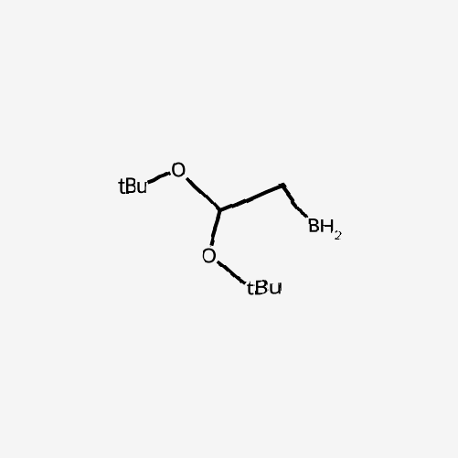 BCC(OC(C)(C)C)OC(C)(C)C